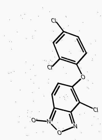 [O-][n+]1onc2c(Cl)c(Oc3ccc(Cl)cc3Cl)ccc21